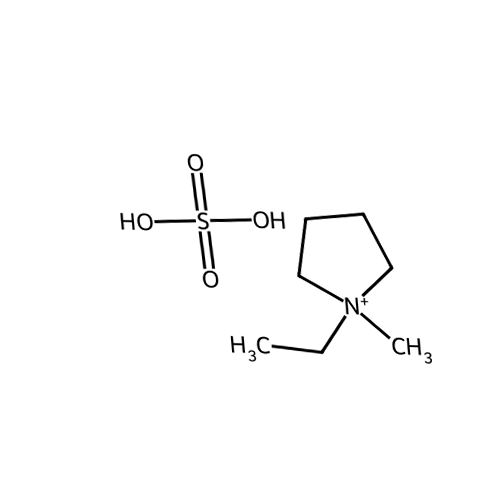 CC[N+]1(C)CCCC1.O=S(=O)(O)O